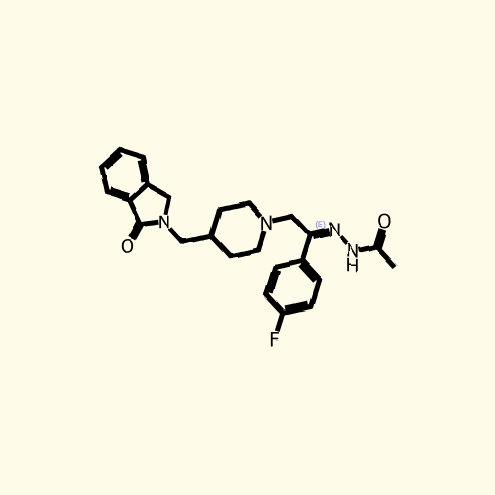 CC(=O)N/N=C(/CN1CCC(CN2Cc3ccccc3C2=O)CC1)c1ccc(F)cc1